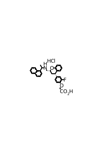 CC(NC[C@H]1C[C@@H](c2ccc(OCC(=O)O)c(F)c2)c2ccccc2O1)c1cccc2ccccc12.Cl